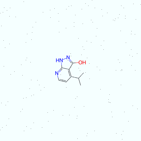 CC(C)c1ccnc2[nH]nc(O)c12